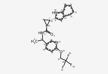 CC(NC(=O)[C@H]1C[C@@H]1c1cc2ccccc2[nH]1)c1ccc(OCC(F)(F)F)nc1